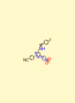 CS(=O)(=O)N1CCN(c2cc(CN[C@@H]3C[C@H]3c3ccc(F)cc3)nc(-c3ccc(C#N)cc3)n2)CC1